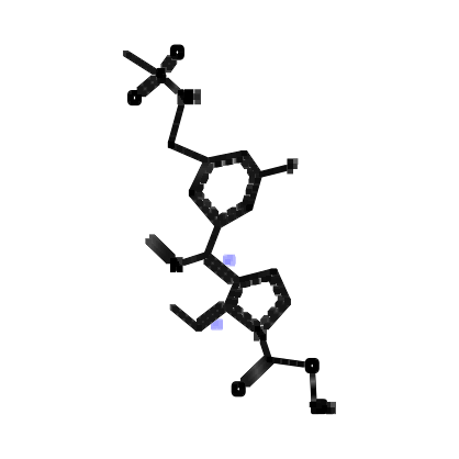 C=N/C(c1cc(F)cc(CNS(C)(=O)=O)c1)=c1/ccn(C(=O)OC(C)(C)C)/c1=C/C